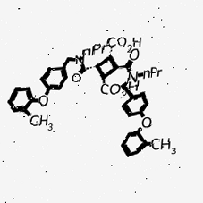 CCCN(Cc1ccc(Oc2ccccc2C)cc1)C(=O)[C@H]1[C@H](C(=O)O)[C@H](C(=O)N(CCC)Cc2ccc(Oc3ccccc3C)cc2)[C@H]1C(=O)O